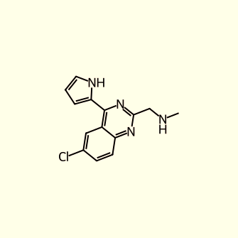 CNCc1nc(-c2ccc[nH]2)c2cc(Cl)ccc2n1